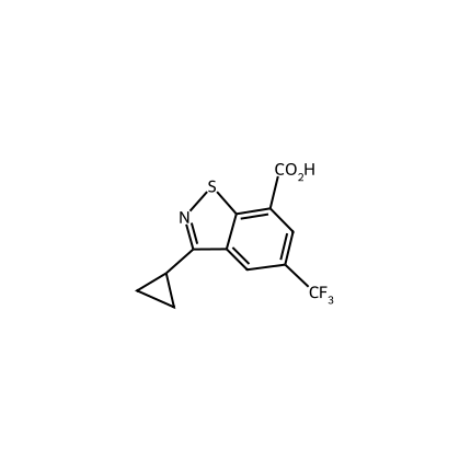 O=C(O)c1cc(C(F)(F)F)cc2c(C3CC3)nsc12